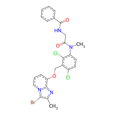 Cc1nc2c(OCc3c(Cl)ccc(N(C)C(=O)CNC(=O)c4ccccc4)c3Cl)cccn2c1Br